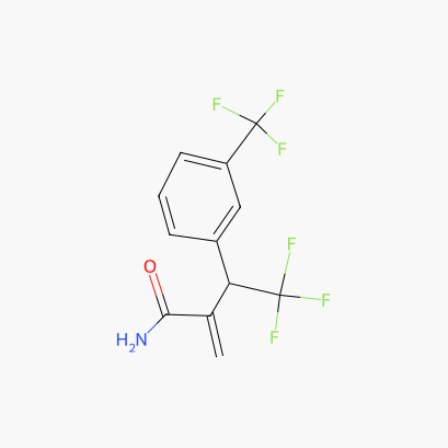 C=C(C(N)=O)C(c1cccc(C(F)(F)F)c1)C(F)(F)F